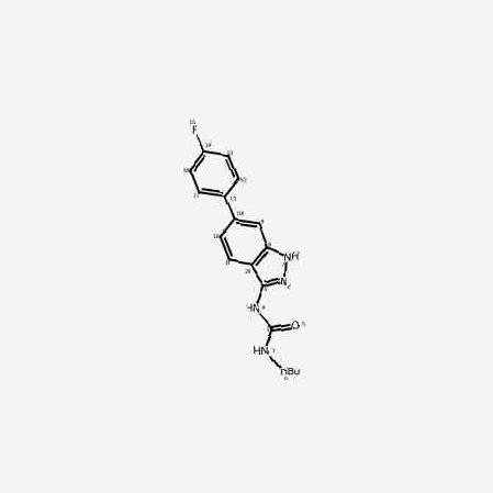 CCCCNC(=O)Nc1n[nH]c2cc(-c3ccc(F)cc3)ccc12